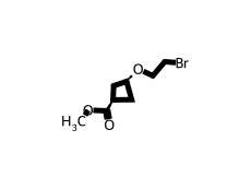 COC(=O)[C@H]1C[C@H](OCCBr)C1